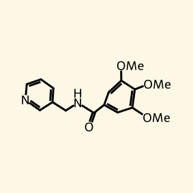 COc1cc(C(=O)NCc2cccnc2)cc(OC)c1OC